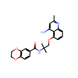 Cc1cc(N)c2c(OCC(C)(C)NC(=O)c3ccc4c(c3)OCCO4)cccc2n1